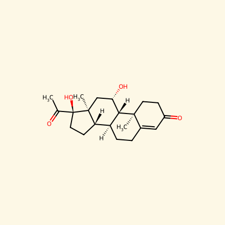 CC(=O)[C@@]1(O)CC[C@H]2[C@@H]3CCC4=CC(=O)CC[C@]4(C)[C@H]3[C@@H](O)C[C@@]21C